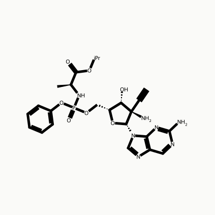 C#C[C@@]1(N)[C@@H](O)[C@@H](COP(=O)(N[C@@H](C)C(=O)OC(C)C)Oc2ccccc2)O[C@H]1n1cnc2cnc(N)nc21